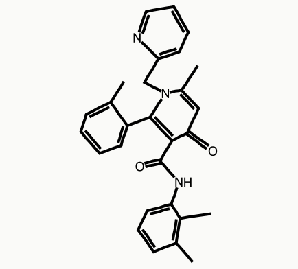 Cc1ccccc1-c1c(C(=O)Nc2cccc(C)c2C)c(=O)cc(C)n1Cc1ccccn1